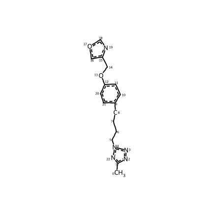 Cc1nnn(CCCCc2ccc(OCc3cocn3)cc2)n1